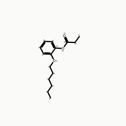 CCCCCCOc1ccccc1OC(=O)CC